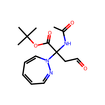 CC(=O)NC(CC=O)(C(=O)OC(C)(C)C)N1C=CC=CC=N1